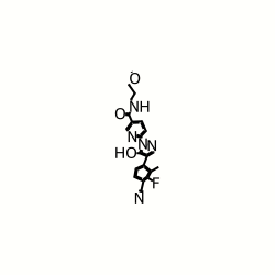 COCCCNC(=O)c1ccc(-n2ncc(-c3ccc(C#N)c(F)c3C)c2O)nc1